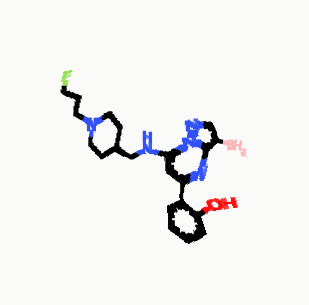 Bc1cnn2c(NCC3CCN(CCCF)CC3)cc(-c3ccccc3O)nc12